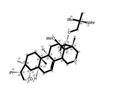 CN[C@@](C)(CO[C@H]1[C@H](OC)C[C@@]23COC[C@]1(C)[C@@H]2CC[C@H]1C3=CC[C@@]2(C)[C@H](C(=O)O)[C@@](C)([C@H](C)C(C)C)CC[C@]12C)C(C)(C)C